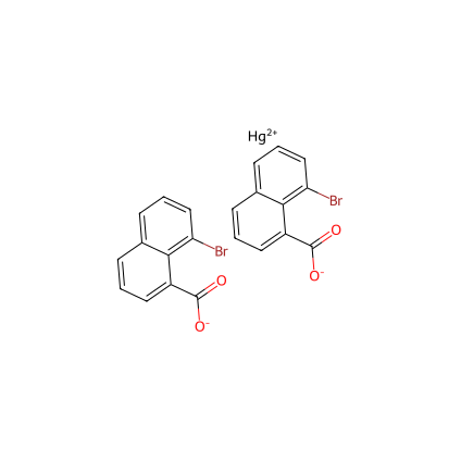 O=C([O-])c1cccc2cccc(Br)c12.O=C([O-])c1cccc2cccc(Br)c12.[Hg+2]